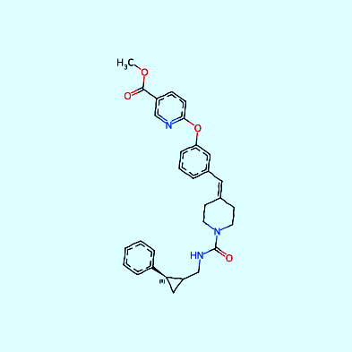 COC(=O)c1ccc(Oc2cccc(C=C3CCN(C(=O)NCC4C[C@H]4c4ccccc4)CC3)c2)nc1